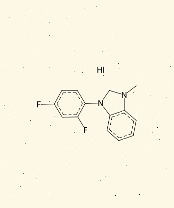 CN1CN(c2ccc(F)cc2F)c2ccccc21.I